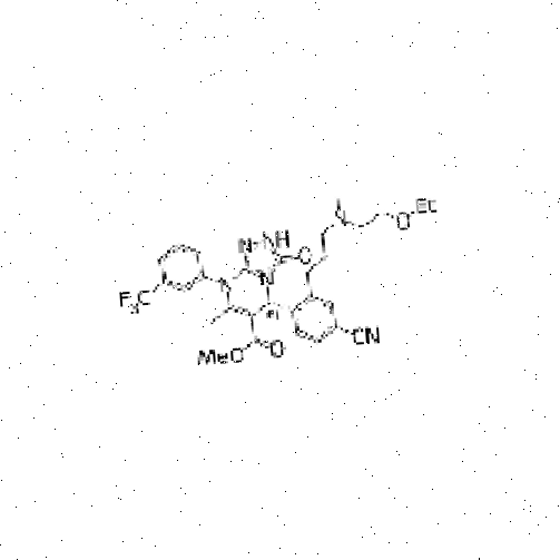 CCOCCN(C)CCCc1cc(C#N)ccc1[C@@H]1C(C(=O)OC)=C(C)N(c2cccc(C(F)(F)F)c2)c2n[nH]c(=O)n21